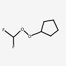 FC(F)OOC1CCCC1